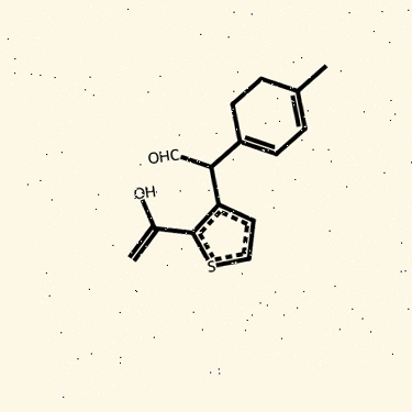 C=C(O)c1sccc1C(C=O)C1=CC=C(C)CC1